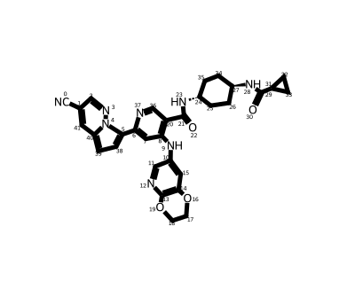 N#Cc1cnn2c(-c3cc(Nc4cnc5c(c4)OCCO5)c(C(=O)N[C@H]4CC[C@H](NC(=O)C5CC5)CC4)cn3)ccc2c1